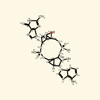 Cc1nc2c(ncn2[C@@H]2O[C@@H]3CO[P@@](=O)(S)O[C@H]4[C@@H](O)[C@H](n5cnc6c(N)ncnc65)[C@H]5CC54COP(=O)(O)O[C@@H]2[C@@H]3CO)c(=O)[nH]1